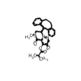 CC(C)C(=O)Oc1c2n(ncc1=O)C(C1c3ccccc3CCc3ccccc31)CN(C)C2=O